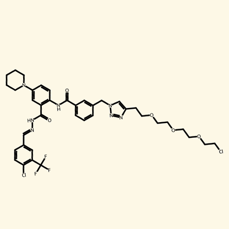 O=C(Nc1ccc(N2CCCCC2)cc1C(=O)NN=Cc1ccc(Cl)c(C(F)(F)F)c1)c1cccc(Cn2cc(CCOCCOCCOCCCl)nn2)c1